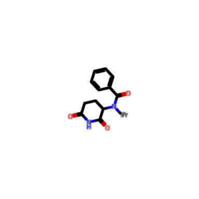 CC(C)N(C(=O)c1ccccc1)C1CCC(=O)NC1=O